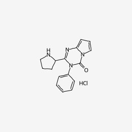 Cl.O=c1n(-c2ccccc2)c(C2CCCN2)nc2cccn12